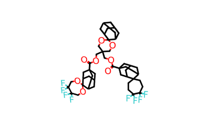 O=C(OCC1(COC(=O)C23CC4CC(C2)C2(OCC(F)(F)C(F)(F)CO2)C(C4)C3)COC2(OC1)C1CC3CC(C1)CC2C3)C12CC3CC(C1)C1(CCC(F)(F)C(F)(F)CC1)C(C3)C2